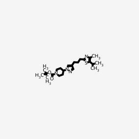 Cc1nc(CCCc2cnn(C3CCN(C(=O)OC(C)(C)C)CC3)c2)sc1C(C)C